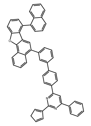 C1=CC(c2nc(-c3ccccc3)cc(-c3ccc(-c4cccc(-c5cc6c(oc7cccc(-c8cccc9ccccc89)c76)c6ccccc56)c4)cc3)n2)=CC1